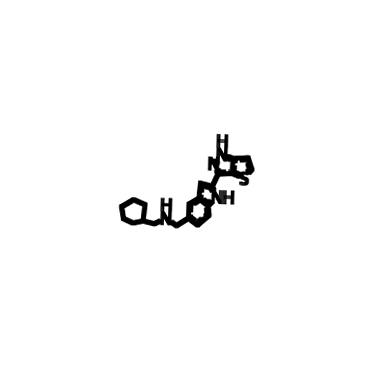 c1cc2[nH]nc(-c3cc4cc(CNCC5CCCCC5)ccc4[nH]3)c2s1